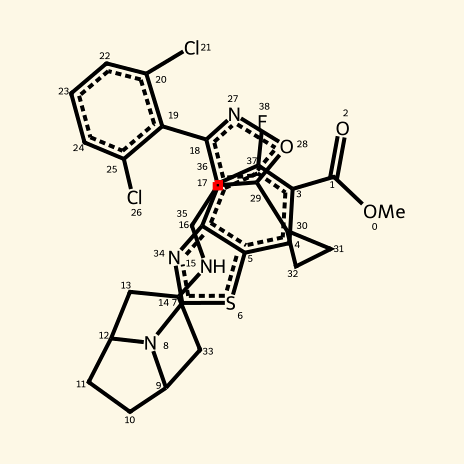 COC(=O)c1cc2sc(N3C4CCC3CC(NCc3c(-c5c(Cl)cccc5Cl)noc3C3CC3)C4)nc2cc1F